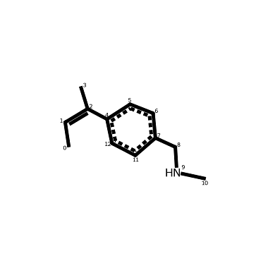 C/C=C(/C)c1ccc(CNC)cc1